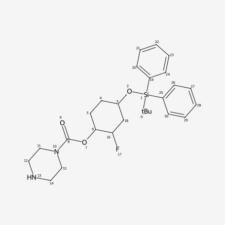 CC(C)(C)[Si](OC1CCC(OC(=O)N2CCNCC2)C(F)C1)(c1ccccc1)c1ccccc1